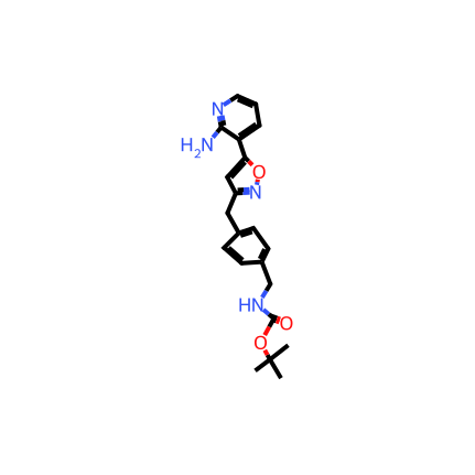 CC(C)(C)OC(=O)NCc1ccc(Cc2cc(-c3cccnc3N)on2)cc1